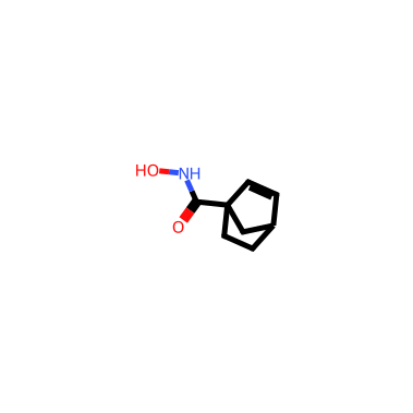 O=C(NO)C12C=CC(CC1)C2